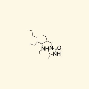 CCCCC(CC)C(NCC)C(CC)CN1CC(C)NC1=O